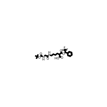 CC(C)(C)OC(=O)NCC(=O)NCCCCC(C(=O)O)C(=O)OC(c1ccccc1)C(F)(F)F